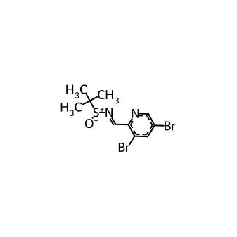 CC(C)(C)[S+]([O-])N=Cc1ncc(Br)cc1Br